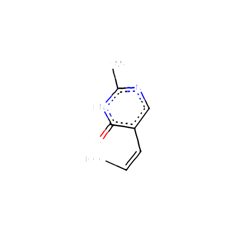 CSc1ncc(/C=C\C(=O)O)c(=O)[nH]1